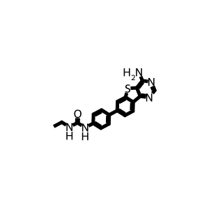 CCNC(=O)Nc1ccc(-c2ccc3c(c2)sc2c(N)ncnc23)cc1